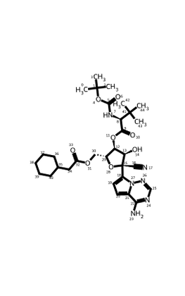 CC(C)(C)OC(=O)N[C@H](C(=O)O[C@H]1[C@@H](O)[C@](C#N)(c2ccc3c(N)ncnn23)O[C@@H]1COC(=O)CC1CCCCC1)C(C)(C)C